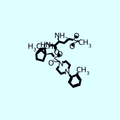 Cc1ccccc1N1CCN(S(=O)(=O)C[C@]23CCC(C[C@@H]2NC(=O)[C@@H](N)CCS(C)(=O)=O)C3(C)C)CC1